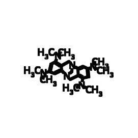 CN(C)c1cc(N(C)C)c2c(c1)N1Cc3c(N(C)C)cc(N(C)C)cc3N(C2)C1